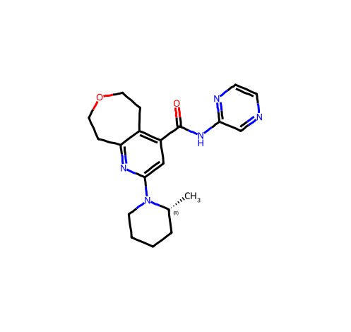 C[C@@H]1CCCCN1c1cc(C(=O)Nc2cnccn2)c2c(n1)CCOCC2